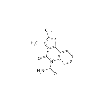 Cc1sc2c(c1C)c(=O)n(C(N)=O)c1ccccc21